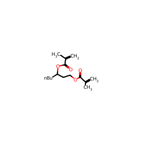 C=C(C)C(=O)OCCC(CCCC)OC(=O)C(=C)C